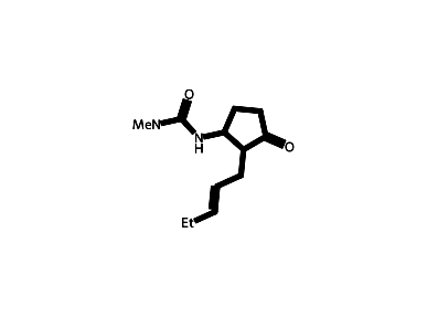 CC/C=C/CC1C(=O)CCC1NC(=O)NC